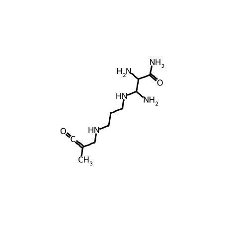 CC(=C=O)CNCCCNC(N)C(N)C(N)=O